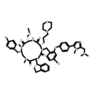 COC[C@@H]1NC(=O)[C@H](CCCN2CCOCC2)N(Cc2ccc(Cl)cc2Oc2ccc(-c3cnc(CN(C)C)n3C)cc2)C(=O)C[C@@H]([C@H]2CCc3ccccc32)C(=O)N(C)C[C@@H](Cc2ccc(Cl)cc2)N(C)C1=O